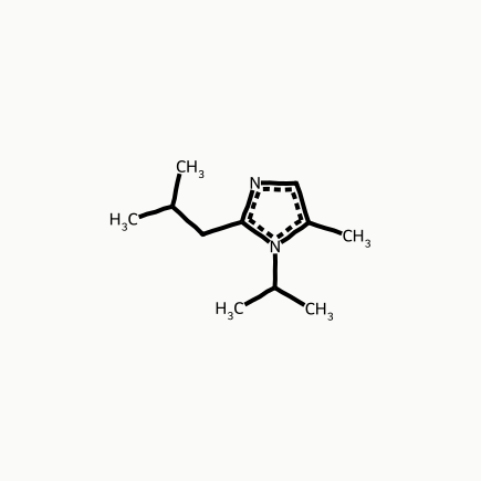 Cc1cnc(CC(C)C)n1C(C)C